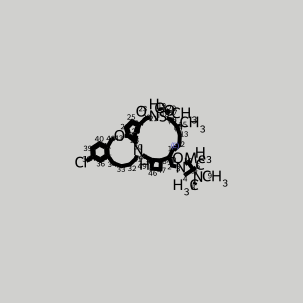 CO[C@@]1(CN2CC(C)(N(C)C)C2)/C=C/C[C@H](C)[C@@H](C)S(=O)(=O)NC(=O)c2ccc3c(c2)N(CCCCc2cc(Cl)ccc2CO3)C[C@@H]2CCC21